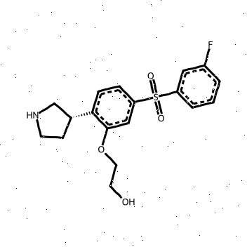 O=S(=O)(c1cccc(F)c1)c1ccc([C@@H]2CCNC2)c(OCCO)c1